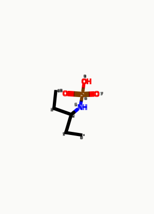 [CH2]CC(CC)NS(=O)(=O)O